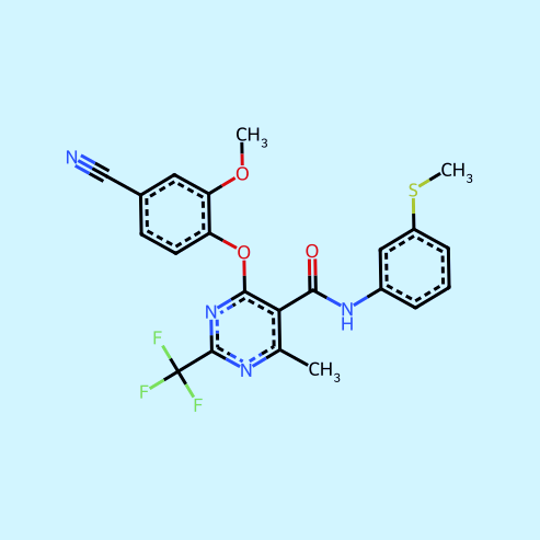 COc1cc(C#N)ccc1Oc1nc(C(F)(F)F)nc(C)c1C(=O)Nc1cccc(SC)c1